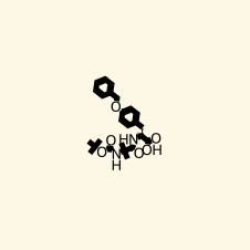 CC(C)(C)OC(=O)NC(C)(C)C(=O)N[C@H](Cc1ccc(OCc2ccccc2)cc1)C(=O)O